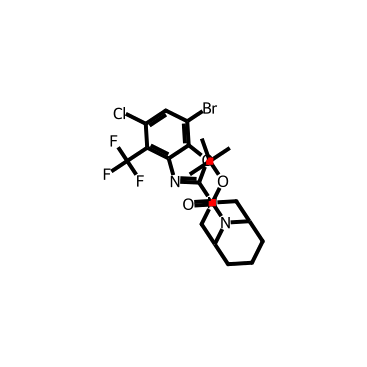 CC(C)(C)OC(=O)N1C2CCCC1CN(c1nc3c(C(F)(F)F)c(Cl)cc(Br)c3o1)C2